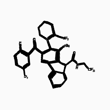 CCCCc1c2c(cc(C(=O)c3cc(C(F)(F)F)ccc3F)c1N1CCCCC1N)-c1ccccc1C2C(=O)NCC(F)(F)F